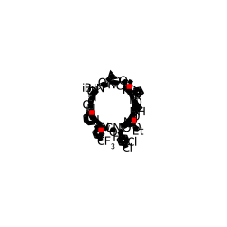 CCO[C@@H]1C[C@H]2C(=O)NC3(CCC3)C(=O)N(C)[C@@H](C3CCCC3)C(=O)N(C)[C@H](C(=O)N(C)C)CC(=O)N(C)[C@@H](CC3CC3)C(=O)N[C@@H]([C@@H](C)CC)C(=O)N(C)CC(=O)N(C)[C@H]3C/C=C\CCN(C3=O)[C@@H](Cc3ccc(C(F)(F)F)cc3)C(=O)N(C)CC(=O)N[C@@H](CCc3ccc(Cl)c(Cl)c3)C(=O)N2C1